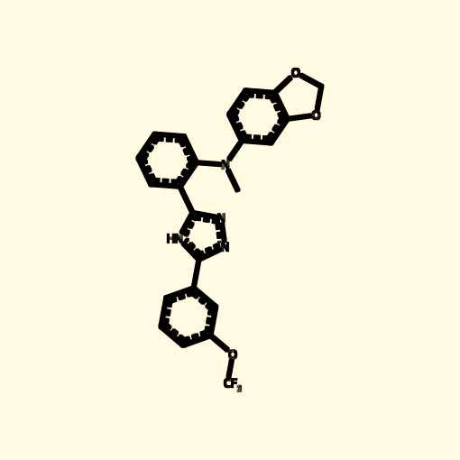 CN(c1ccc2c(c1)OCO2)c1ccccc1-c1nnc(-c2cccc(OC(F)(F)F)c2)[nH]1